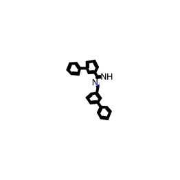 N=C(/N=C/c1cccc(-c2ccccc2)c1)c1cccc(-c2ccccc2)c1